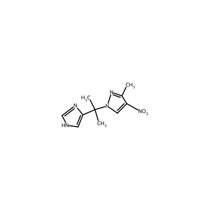 Cc1nn(C(C)(C)c2c[nH]cn2)cc1[N+](=O)[O-]